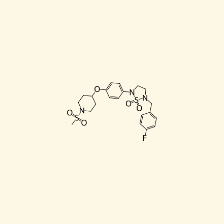 CS(=O)(=O)N1CCC(Oc2ccc(N3CCN(Cc4ccc(F)cc4)S3(=O)=O)cc2)CC1